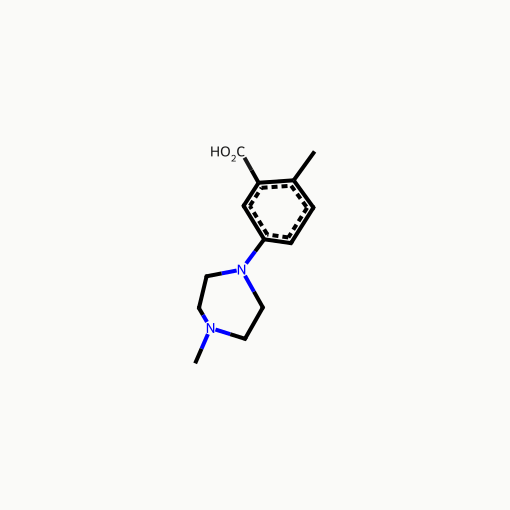 Cc1ccc(N2CCN(C)CC2)cc1C(=O)O